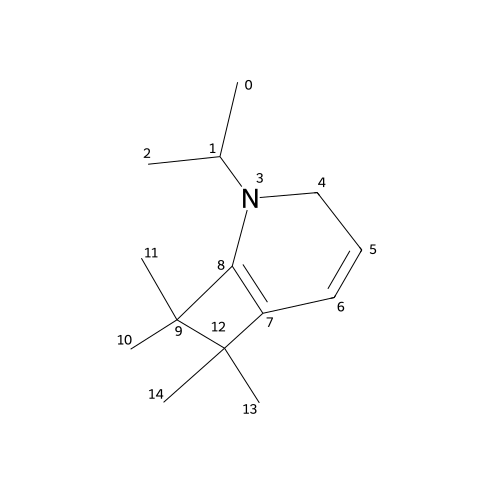 CC(C)N1CC=CC2=C1C(C)(C)C2(C)C